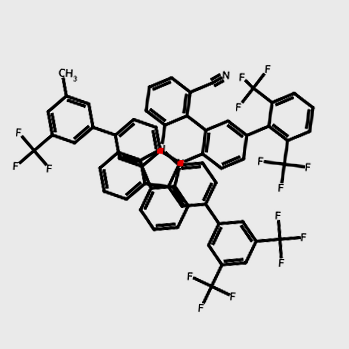 Cc1cc(-c2ccc3c(c2)c2ccccc2n3-c2ccc(-c3c(C(F)(F)F)cccc3C(F)(F)F)cc2-c2c(C#N)cccc2-n2c3ccccc3c3cc(-c4cc(C(F)(F)F)cc(C(F)(F)F)c4)ccc32)cc(C(F)(F)F)c1